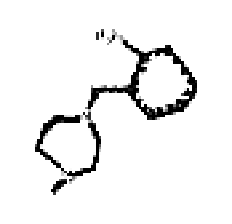 CN1CCN(Cc2ccccc2N)CC1